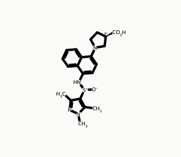 Cc1nn(C)c(C)c1[S+]([O-])Nc1ccc(N2CC[C@@H](C(=O)O)C2)c2ccccc12